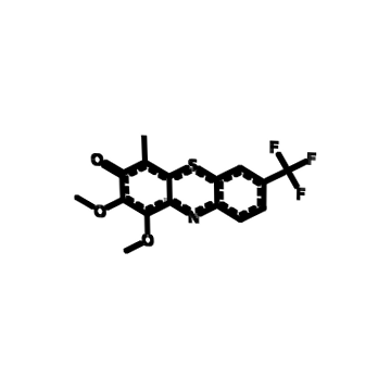 COc1c2nc3ccc(C(F)(F)F)cc3sc-2c(C)c(=O)c1OC